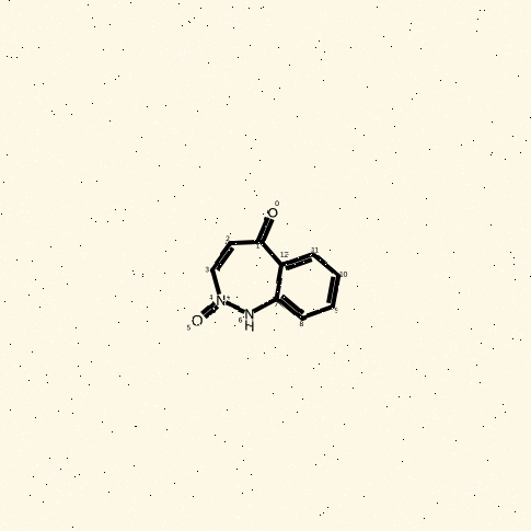 O=c1[c]c[n+](=O)[nH]c2ccccc12